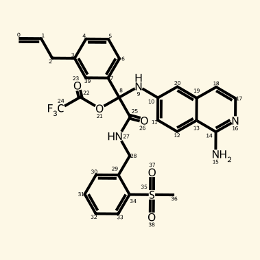 C=CCc1cccc(C(Nc2ccc3c(N)nccc3c2)(OC(=O)C(F)(F)F)C(=O)NCc2ccccc2S(C)(=O)=O)c1